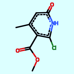 COC(=O)c1c(C)cc(=O)[nH]c1Cl